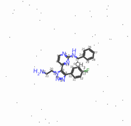 C[C@H](Nc1nccc(-c2c(-c3ccc(F)cc3)nnn2CCN)n1)c1ccccc1